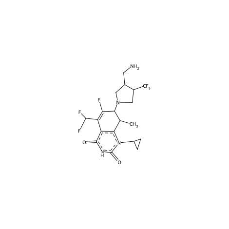 CC1c2c(c(=O)[nH]c(=O)n2C2CC2)C(C(F)F)=C(F)C1N1CC(CN)C(C(F)(F)F)C1